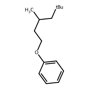 CC(CCOc1ccccc1)CC(C)(C)C